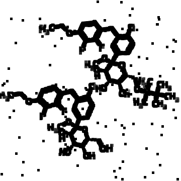 CCOc1ccc(Cc2cc([C@]3(OC)O[C@H](CO)[C@@H](O)[C@H](O)[C@H]3O)ccc2Cl)c(F)c1F.CCOc1ccc(Cc2cc([C@]3(OC)O[C@H](CO[Si](C)(C)C(C)(C)C)[C@@H](O)[C@H](O)[C@H]3O)ccc2Cl)c(F)c1F